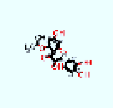 CC(C)Oc1cc(O)cc2c1C(=O)[C@H](O)[C@@H](c1ccc(O)c(O)c1)O2